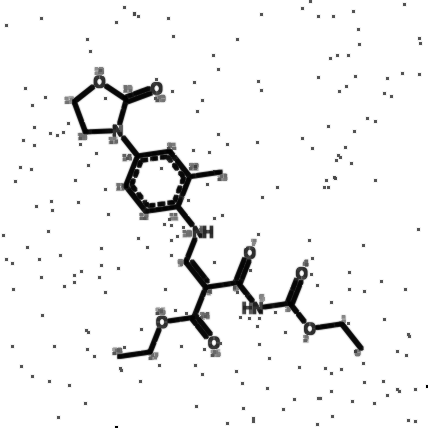 CCOC(=O)NC(=O)/C(=C\Nc1ccc(N2CCOC2=O)cc1C)C(=O)OCC